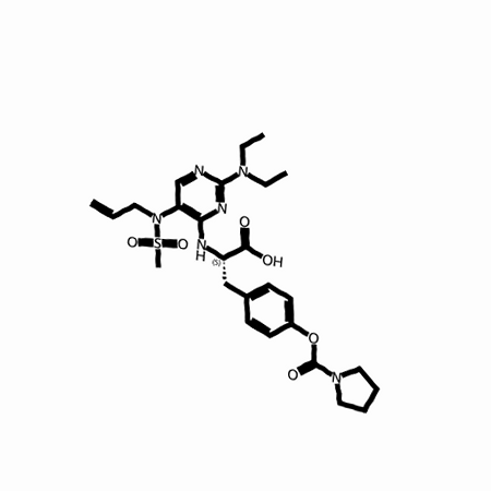 C=CCN(c1cnc(N(CC)CC)nc1N[C@@H](Cc1ccc(OC(=O)N2CCCC2)cc1)C(=O)O)S(C)(=O)=O